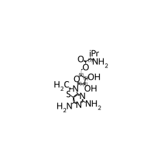 C=C1Sc2c(N)nc(N)nc2N1[C@@H]1O[C@H](COC(=O)[C@@H](N)C(C)C)[C@@H](O)[C@H]1O